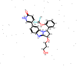 O=c1ccc(-c2ccc3nc4n(c3c2)[C@@H](c2ccccc2OC(F)F)C[C@H]4OCCCO)c[nH]1